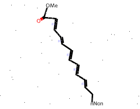 CCCCCCCCCC/C=C/C=C/C=C/C=C/C=C/C(=O)OC